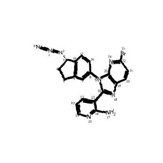 [N-]=[N+]=N[C@H]1CCc2cc(-n3c(-c4cccnc4N)nc4ccc(Br)nc43)ccc21